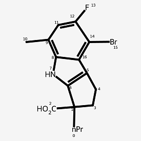 CCCC1(C(=O)O)CCc2c1[nH]c1c(C)cc(F)c(Br)c21